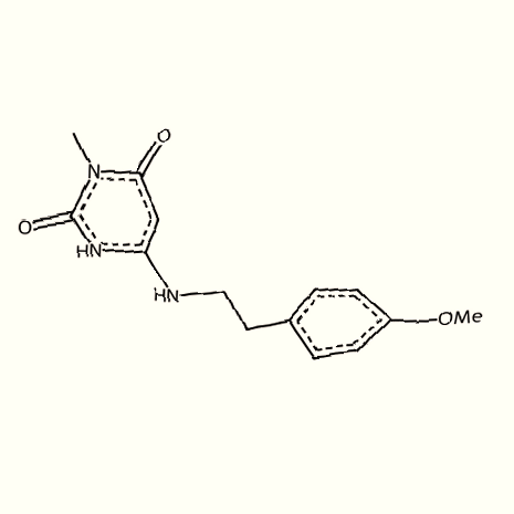 COc1ccc(CCNc2cc(=O)n(C)c(=O)[nH]2)cc1